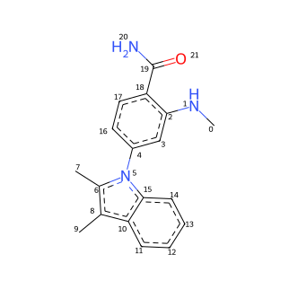 CNc1cc(-n2c(C)c(C)c3ccccc32)ccc1C(N)=O